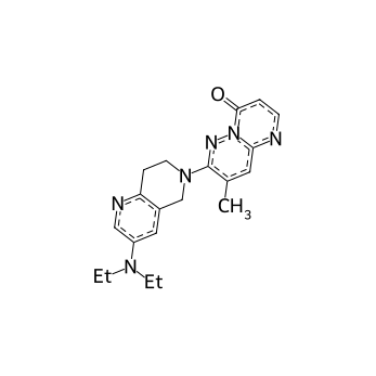 CCN(CC)c1cnc2c(c1)CN(c1nn3c(=O)ccnc3cc1C)CC2